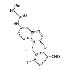 C[C@@H](c1cc(C=O)ccc1F)n1c(=O)cnc2cc(NC(=O)NC(C)(C)C)ccc21